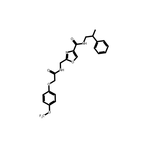 CC(CNC(=O)c1coc(CNC(=O)COc2ccc(OC(F)(F)F)cc2)n1)c1ccccc1